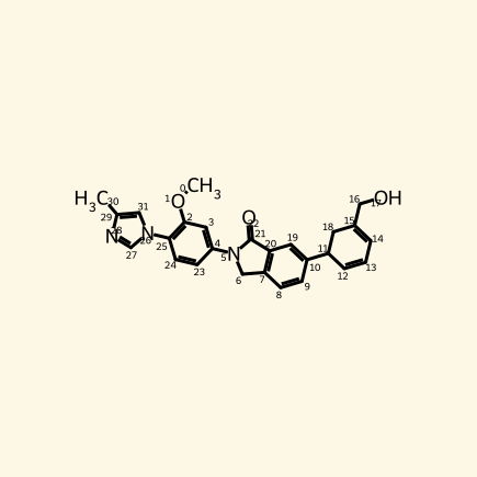 COc1cc(N2Cc3ccc(C4C=CC=C(CO)C4)cc3C2=O)ccc1-n1cnc(C)c1